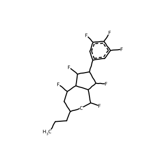 CCCC1CC(F)C2C(F)C(c3cc(F)c(F)c(F)c3)C(F)C2C(F)C1